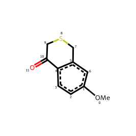 COc1ccc2c(c1)CSCC2=O